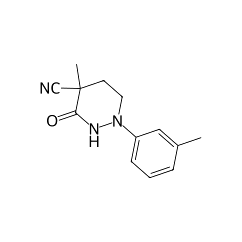 Cc1cccc(N2CCC(C)(C#N)C(=O)N2)c1